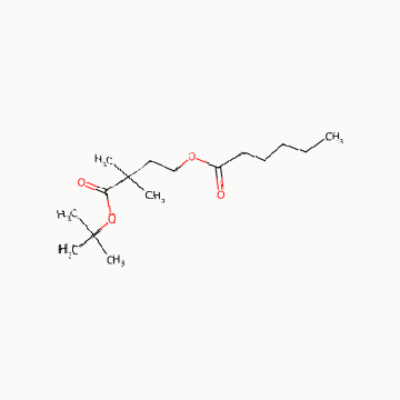 CCCCCC(=O)OCCC(C)(C)C(=O)OC(C)(C)C